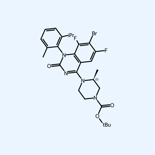 Cc1cccc(C(C)C)c1-n1c(=O)nc(N2CCN(C(=O)OC(C)(C)C)C[C@@H]2C)c2cc(F)c(Br)c(F)c21